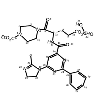 CCOC(=O)N1CCN(C(=O)[C@H](CCC(=O)O)NC(=O)c2cc(N3CCN=C3C)nc(-c3ccccc3)n2)CC1.O=CO